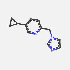 c1cn(Cc2ccc(C3CC3)cn2)cn1